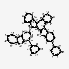 c1ccc(-c2ccc3c(c2)sc2c3c3ccccc3c3c4ccccc4n(-c4nc(-c5ccccc5)c5sc6ccccc6c5n4)c23)cc1